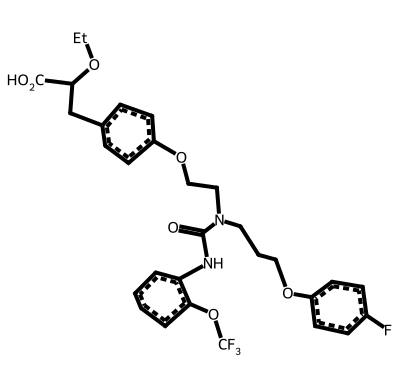 CCOC(Cc1ccc(OCCN(CCCOc2ccc(F)cc2)C(=O)Nc2ccccc2OC(F)(F)F)cc1)C(=O)O